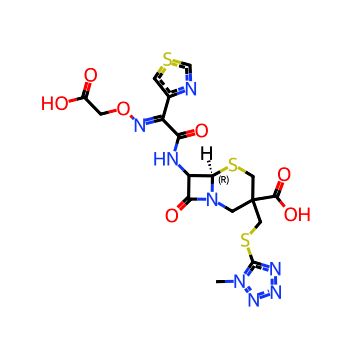 Cn1nnnc1SCC1(C(=O)O)CS[C@@H]2C(NC(=O)C(=NOCC(=O)O)c3cscn3)C(=O)N2C1